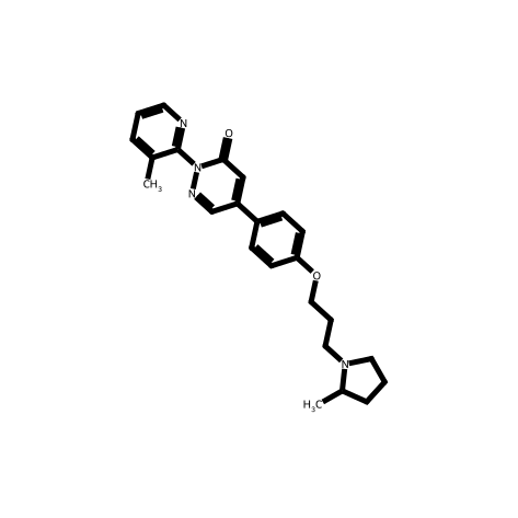 Cc1cccnc1-n1ncc(-c2ccc(OCCCN3CCCC3C)cc2)cc1=O